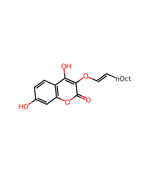 CCCCCCCC/C=C/Oc1c(O)c2ccc(O)cc2oc1=O